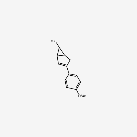 COc1ccc(C2=CC3C(C2)C3C(C)(C)C)cc1